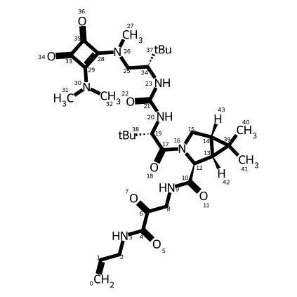 C=CCNC(=O)C(=O)CNC(=O)[C@@H]1[C@@H]2[C@H](CN1C(=O)[C@@H](NC(=O)N[C@H](CN(C)c1c(N(C)C)c(=O)c1=O)C(C)(C)C)C(C)(C)C)C2(C)C